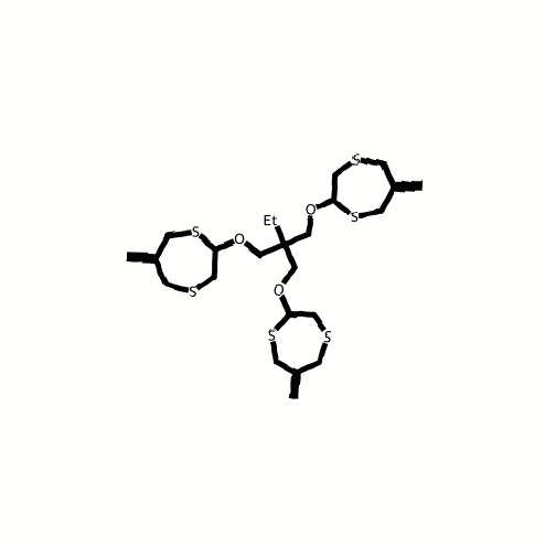 C=C1CSCC(OCC(CC)(COC2CSCC(=C)CS2)COC2CSCC(=C)CS2)SC1